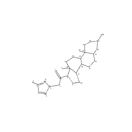 Cc1cnn(CC(=O)C2CCC3C4CCC5CC(C)CCC5(C)C4CCC23C)n1